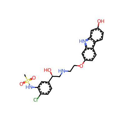 CS(=O)(=O)Nc1cc([C@@H](O)CNCCOc2ccc3c(c2)[nH]c2cc(O)ccc23)ccc1Cl